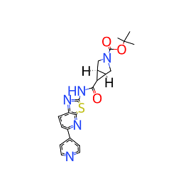 CC(C)(C)OC(=O)N1C[C@@H]2C(C(=O)Nc3nc4ccc(-c5ccncc5)nc4s3)[C@@H]2C1